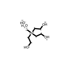 C[N+](CCO)(CCO)CCO.O.[OH-]